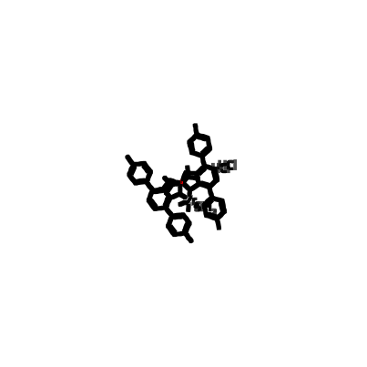 Cc1ccc(-c2ccc(-c3ccc(C)cc3)c3c2C=C(C(C)C)[CH]3[Zr]([CH3])([CH3])(=[SiH2])[CH]2C(C(C)C)=Cc3c(-c4ccc(C)cc4)ccc(-c4ccc(C)cc4)c32)cc1.Cl.Cl